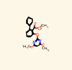 COC(=O)c1c(Oc2nc(OC)cc(OC)n2)cccc1-c1ccccc1